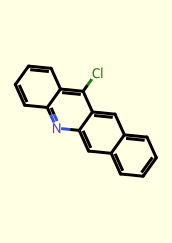 Clc1c2ccccc2nc2cc3ccccc3cc12